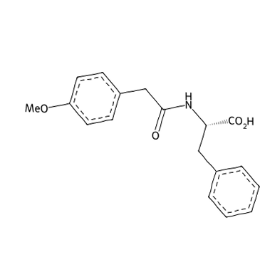 COc1ccc(CC(=O)N[C@@H](Cc2ccccc2)C(=O)O)cc1